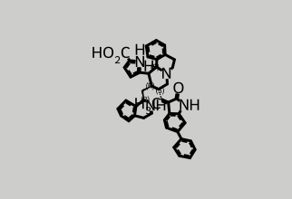 CC(=C1C(=O)Nc2cc(-c3ccccc3)ccc21)[C@H]1CN2CCc3ccccc3[C@@H]2C(c2ccc(C(=O)O)[nH]2)[C@@H]1C[C@H]1NCCc2ccccc21